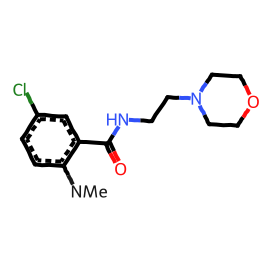 CNc1ccc(Cl)cc1C(=O)NCCN1CCOCC1